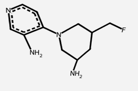 Nc1cnccc1N1CC(N)CC(CF)C1